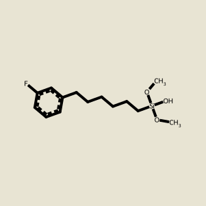 CO[Si](O)(CCCCCCc1cccc(F)c1)OC